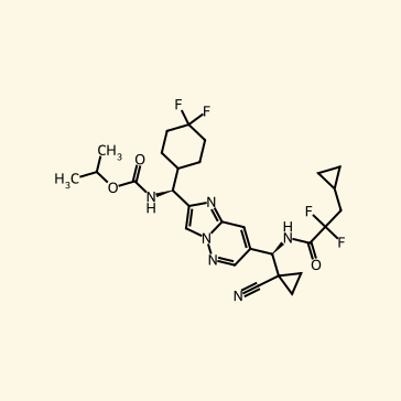 CC(C)OC(=O)N[C@H](c1cn2ncc([C@@H](NC(=O)C(F)(F)CC3CC3)C3(C#N)CC3)cc2n1)C1CCC(F)(F)CC1